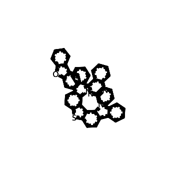 c1ccc(-n2c3ccccc3c3ccc4sc5ccc6c7ccccc7n(-c7nc(-c8ccc9oc%10ccccc%10c9c8)c8ccccc8n7)c6c5c4c32)cc1